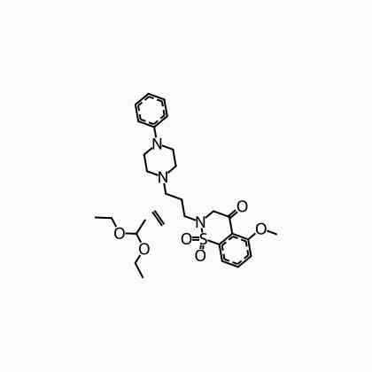 C=C.CCOC(C)OCC.COc1cccc2c1C(=O)CN(CCCN1CCN(c3ccccc3)CC1)S2(=O)=O